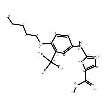 CCCCCOc1ccc(Nc2ncc(C(=O)OC)s2)cc1C(F)(F)F